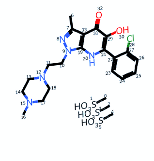 CS(=O)(=O)O.CS(=O)(=O)O.CS(=O)(=O)O.Cc1nn(CCN2CCN(C)CC2)c2[nH]c(-c3ccccc3Cl)c(O)c(=O)c12